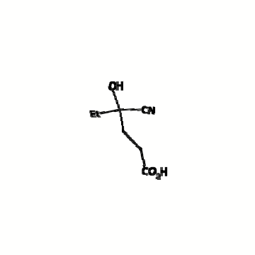 CCC(O)(C#N)CCC(=O)O